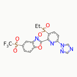 CCS(=O)(=O)c1ccc(-n2cncn2)nc1-c1nc2cc(S(=O)(=O)C(F)(F)F)ccc2o1